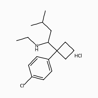 CCNC(CC(C)C)C1(c2ccc(Cl)cc2)CCC1.Cl